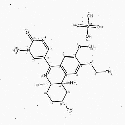 CCOc1cc2c(cc1OC)C(c1cnc(=O)n(C)c1)=N[C@@H]1CC[C@@H](O)C[C@H]21.O=S(=O)(O)O